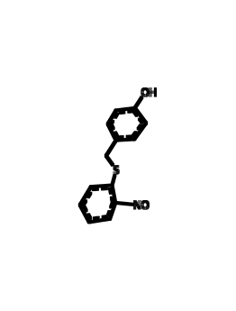 O=Nc1ccccc1SCc1ccc(O)cc1